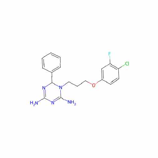 NC1=NC(c2ccccc2)N(CCCOc2ccc(Cl)c(F)c2)C(N)=N1